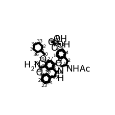 CC(=O)N[C@@H](Cc1ccc(OP(=O)(O)O)cc1)C(=O)NC(Cc1ccccc1)c1ccc(OCC2CCCCC2)c(C(N)=O)c1